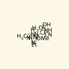 CCN(CCOC)CCN1N=C(C)CC1Nc1nccc(-c2cc(C#N)c3c(c2)[C@@](C)(CO)CN3)n1